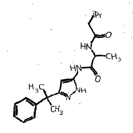 CC(C)CC(=O)NC(C)C(=O)Nc1cc(C(C)(C)c2ccccc2)n[nH]1